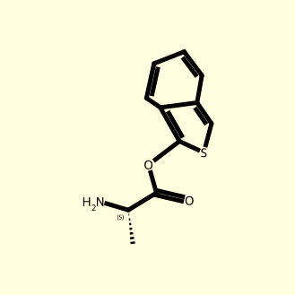 C[C@H](N)C(=O)Oc1scc2ccccc12